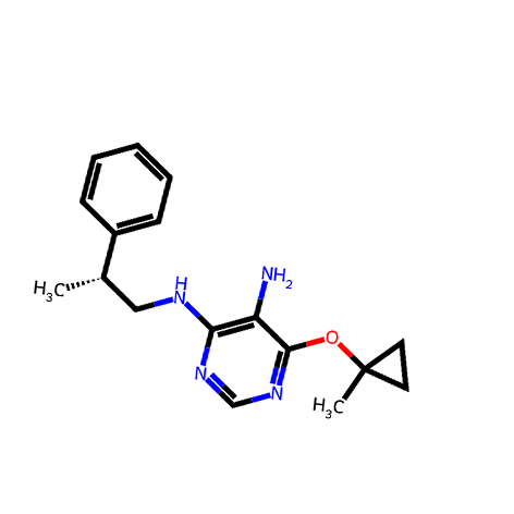 C[C@@H](CNc1ncnc(OC2(C)CC2)c1N)c1ccccc1